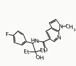 CCC(O)(CC)C(NC(=O)c1cnc2c(ccn2C)c1)c1ccc(F)cc1